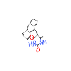 C=c1[nH]c(=O)[nH]c(=O)/c1=C\c1c2ccccc2cc2ccccc12